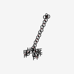 O=C(CCOCC(COCCC(=O)Oc1c(F)c(F)cc(F)c1F)(COCCC(=O)Oc1c(F)c(F)cc(F)c1F)NC(=O)OCCOCCOCCOCCOCCOCCOCCOCCOCCOCCOCCOCCN1C(=O)c2ccccc2C1=O)Oc1c(F)c(F)cc(F)c1F